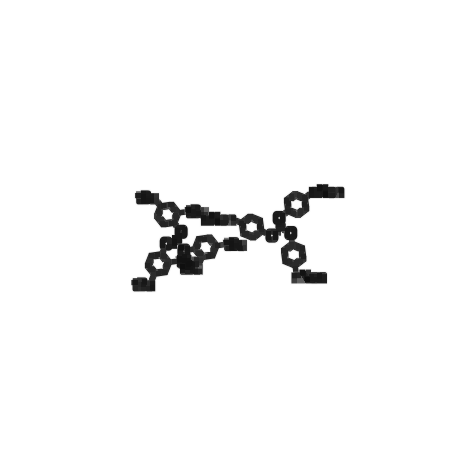 CC(C)(C)c1ccc(OP(Oc2ccc(C(C)(C)C)cc2C(C)(C)C)Oc2ccc(C(C)(C)C)cc2C(C)(C)C)c(C(C)(C)C)c1.CCCCCCCCCc1ccc(OP(Oc2ccc(CCCCCCCCC)cc2)Oc2ccc(CCCCCCCCC)cc2)cc1